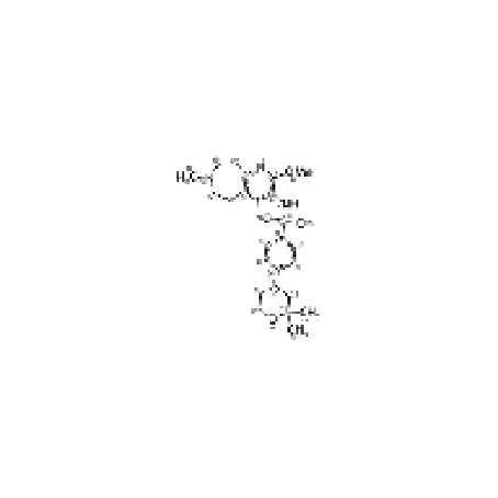 COc1nc2c(cc1NS(=O)(=O)c1ccc([C@@H]3CCOC(C)(C)C3)cc1)CCN(C)CC2